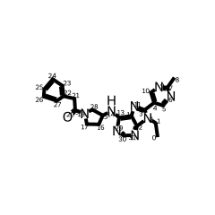 CCn1c(-c2cnc(C)nc2)nc2c(NC3CCN(C(=O)Cc4ccccc4)C3)ncnc21